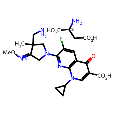 CO/N=C1/CN(c2nc3c(cc2F)c(=O)c(C(=O)O)cn3C2CC2)CC1(C)CN.N[C@@H](CC(=O)O)C(=O)O